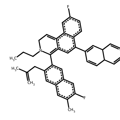 C=C(C)Cc1cc2cc(C)c(F)cc2cc1C1=c2cc(C3=CC4C=CC=CC4C=C3)c3ccc(F)cc3c2=CCN1CCC